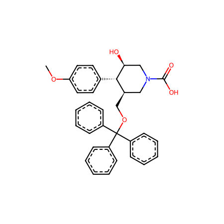 COc1ccc([C@H]2[C@H](COC(c3ccccc3)(c3ccccc3)c3ccccc3)CN(C(=O)O)C[C@@H]2O)cc1